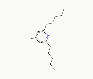 CCCCCc1cc(C)cc(CCCCC)n1